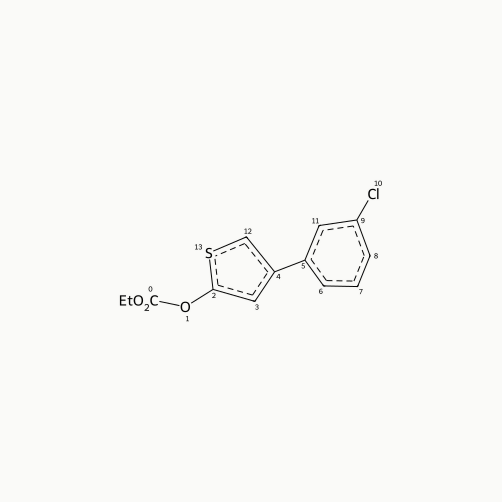 CCOC(=O)Oc1cc(-c2cccc(Cl)c2)cs1